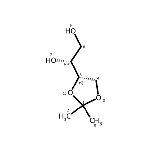 CC1(C)OC[C@@H]([C@H](O)CO)O1